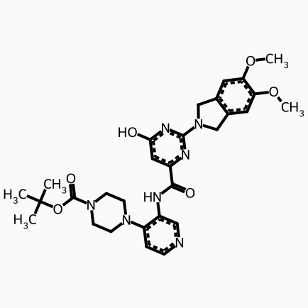 COc1cc2c(cc1OC)CN(c1nc(O)cc(C(=O)Nc3cnccc3N3CCN(C(=O)OC(C)(C)C)CC3)n1)C2